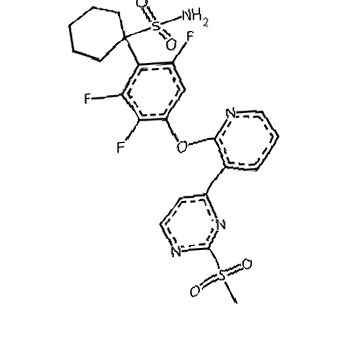 CS(=O)(=O)c1nccc(-c2cccnc2Oc2cc(F)c(C3(S(N)(=O)=O)CCCCC3)c(F)c2F)n1